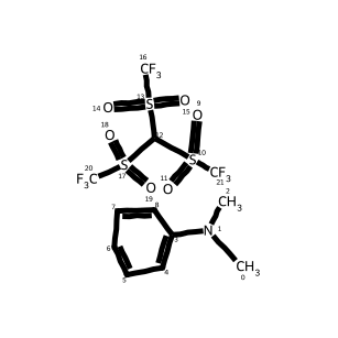 CN(C)c1ccccc1.O=S(=O)(C(S(=O)(=O)C(F)(F)F)S(=O)(=O)C(F)(F)F)C(F)(F)F